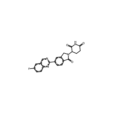 O=C1CCC(N2Cc3cc(-c4ncc5cc(F)ccc5n4)ccc3C2=O)C(=O)N1